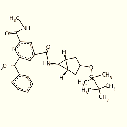 CNC(=O)c1cc(C(=O)N[C@H]2[C@@H]3CC(O[Si](C)(C)C(C)(C)C)C[C@@H]32)cc([C@@H](C)c2ccccc2)n1